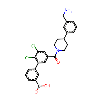 NCc1cccc(C2CCN(C(=O)c3cc(Cl)c(Cl)c(-c4cccc(B(O)O)c4)c3)CC2)c1